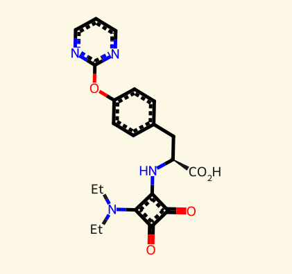 CCN(CC)c1c(N[C@@H](Cc2ccc(Oc3ncccn3)cc2)C(=O)O)c(=O)c1=O